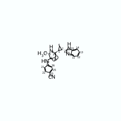 C[C@H](NC(=O)[C@H]1C[C@@H]1c1nc2ccccc2[nH]1)C(=O)Nc1ccc(C#N)cc1